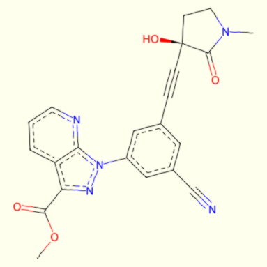 COC(=O)c1nn(-c2cc(C#N)cc(C#C[C@]3(O)CCN(C)C3=O)c2)c2ncccc12